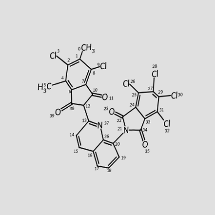 Cc1c(Cl)c(C)c2c(c1Cl)C(=O)C(c1ccc3cccc(N4C(=O)c5c(Cl)c(Cl)c(Cl)c(Cl)c5C4=O)c3n1)C2=O